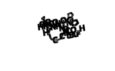 CC(C)(C)N(C(=O)O)[C@H]1CCCCCC=C[C@@H]2C[C@@]2(C(=O)NS(=O)(=O)C2CC2)NC(=O)[C@@H]2C[C@@H](Oc3nc4ccccc4c4c3CCC4)CN2C1=O